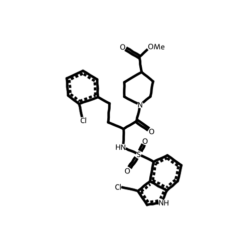 COC(=O)C1CCN(C(=O)C(CCc2ccccc2Cl)NS(=O)(=O)c2cccc3[nH]cc(Cl)c23)CC1